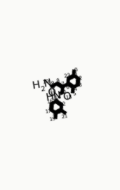 Cc1ccc(C)c(C(=CC(N)=O)C(=O)Nc2ccc(C)c(C)c2)c1